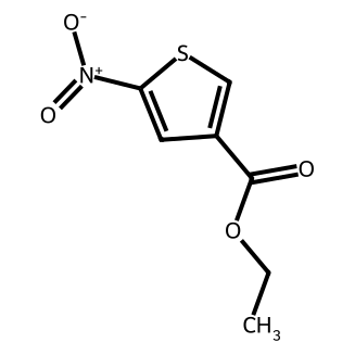 CCOC(=O)c1csc([N+](=O)[O-])c1